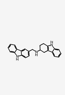 c1ccc2c3c([nH]c2c1)CCC(NCc1ccc2[nH]c4ccccc4c2c1)C3